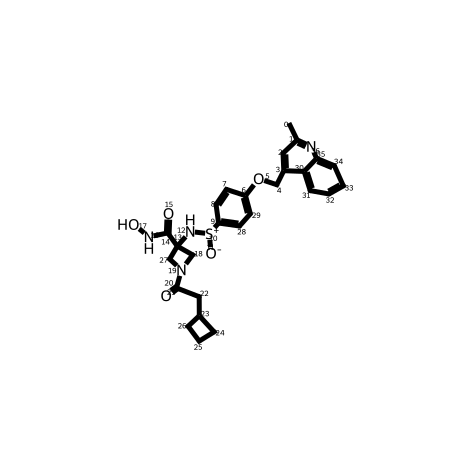 Cc1cc(COc2ccc([S+]([O-])NC3(C(=O)NO)CN(C(=O)CC4CCC4)C3)cc2)c2ccccc2n1